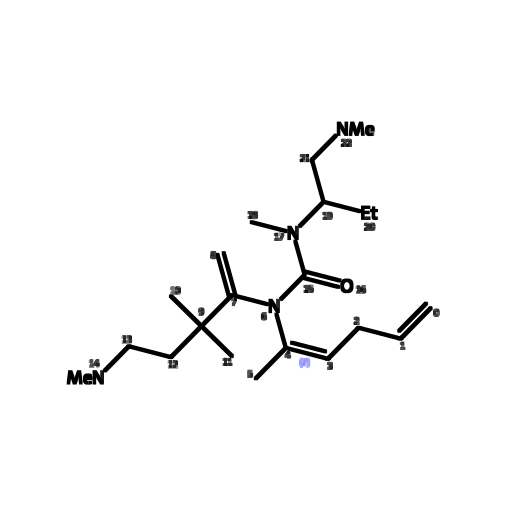 C=CC/C=C(/C)N(C(=C)C(C)(C)CCNC)C(=O)N(C)C(CC)CNC